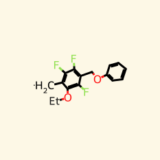 [CH2]c1c(F)c(F)c(COc2ccccc2)c(F)c1OCC